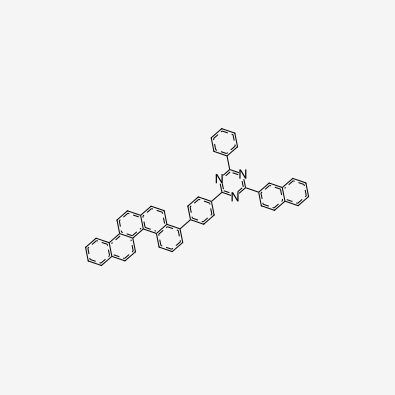 c1ccc(-c2nc(-c3ccc(-c4cccc5c4ccc4ccc6c7ccccc7ccc6c45)cc3)nc(-c3ccc4ccccc4c3)n2)cc1